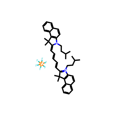 CC(C)CCN1\C(=C/C=C/C=C/C2=[N+](CCC(C)C)c3ccc4ccccc4c3C2(C)C)C(C)(C)c2c1ccc1ccccc21.F[P-](F)(F)(F)(F)F